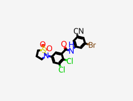 N#Cc1cc(Br)cc(NC(=O)c2cc(N3CCCS3(=O)=O)cc(Cl)c2Cl)c1